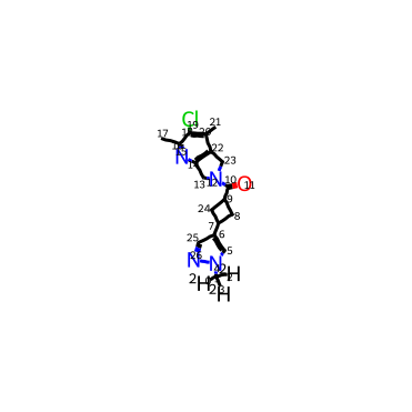 [2H]C([2H])([2H])n1cc(C2CC(C(=O)N3Cc4nc(C)c(Cl)c(C)c4C3)C2)cn1